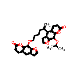 C=C(CCCCOc1c2occc2cc2ccc(=O)oc12)c1c2ccoc2c(OC(C)C)c2oc(=O)ccc12